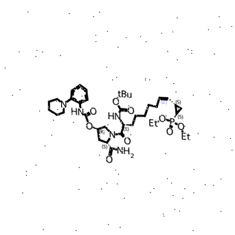 CCOP(=O)(OCC)[C@H]1C[C@H]1/C=C\CCCCC[C@H](NC(=O)OC(C)(C)C)C(=O)N1C[C@H](OC(=O)Nc2ccccc2N2CCCCC2)C[C@H]1C(N)=O